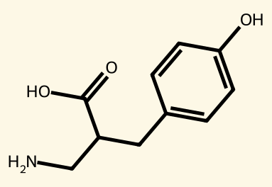 NCC(Cc1ccc(O)cc1)C(=O)O